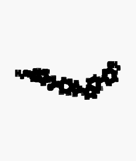 Cc1ccnc(-c2ccc3c(c2)CCC3N2CC3(CCN(C(=O)Cc4cn5nc(C)sc5n4)CC3)C2)n1